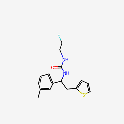 Cc1cccc(C(Cc2cccs2)NC(=O)NCCF)c1